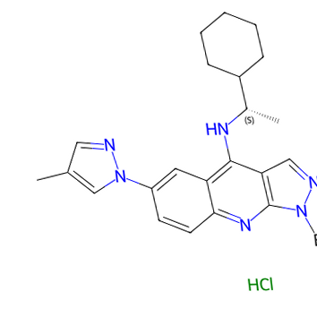 CCn1ncc2c(N[C@@H](C)C3CCCCC3)c3cc(-n4cc(C)cn4)ccc3nc21.Cl